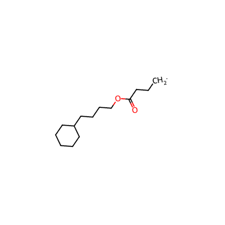 [CH2]CCC(=O)OCCCCC1CCCCC1